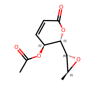 CC(=O)O[C@H]1C=CC(=O)O[C@@H]1[C@@H]1O[C@H]1C